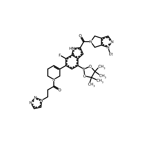 CCn1ncc2c1CN(C(=O)c1cc3c(B4OC(C)(C)C(C)(C)O4)cc(C4=CCCN(C(=O)CCn5ccnn5)C4)c(F)c3[nH]1)C2